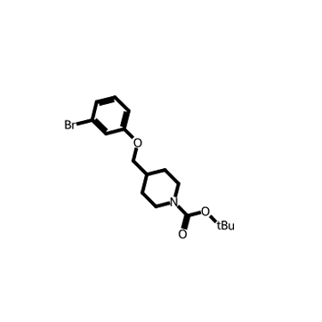 CC(C)(C)OC(=O)N1CCC(COc2cccc(Br)c2)CC1